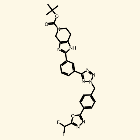 CC(C)(C)OC(=O)N1CCc2[nH]c(-c3cccc(-c4nnn(Cc5ccc(-c6nnc(C(F)F)o6)cc5)n4)c3)nc2C1